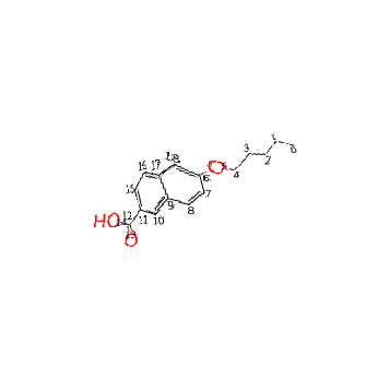 CCCCCOc1ccc2cc(C(=O)O)ccc2c1